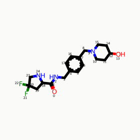 O=C(NCc1ccc(CN2CCC(O)CC2)cc1)C1CC(F)(F)CN1